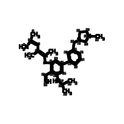 C/C(N)=C/C(C)=C(\C)Cc1cc(-c2cccc(CN3CCN(C)C3)c2)cc(NC(C)C)c1C=N